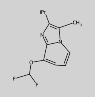 Cc1c(C(C)C)nc2c(OC(F)F)cccn12